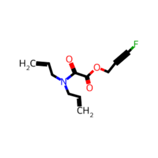 C=CCN(CC=C)C(=O)C(=O)OCC#CF